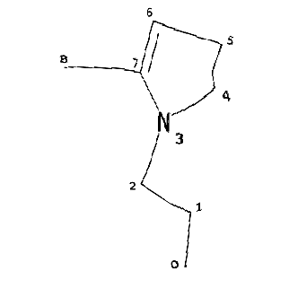 CCCN1CCC=C1C